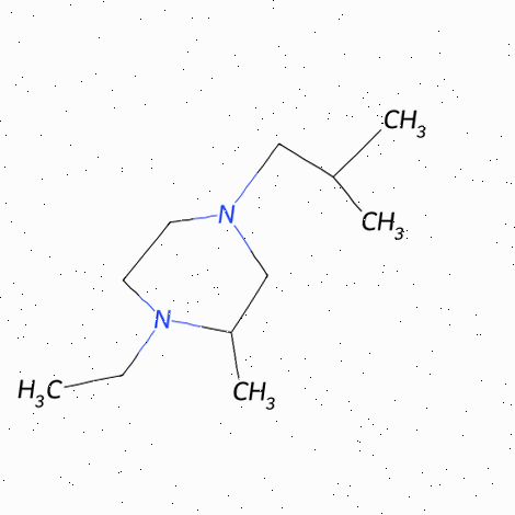 CCN1CCN(CC(C)C)CC1C